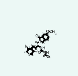 COc1ccc2c(c1)C(=O)N(C[C@H](NC(=O)NC=O)c1cc3c(F)cncc3o1)C2